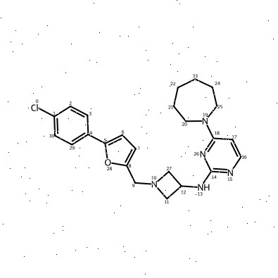 Clc1ccc(-c2ccc(CN3CC(Nc4nccc(N5CCCCCC5)n4)C3)o2)cc1